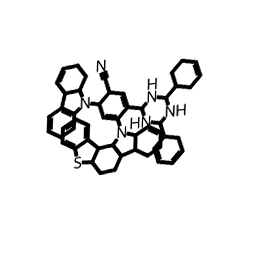 N#CC1C=C(C2NC(C3C=CC=CC3)NC(C3CC=CCC3)N2)C(N2C3C=CCCC3C3CCC4Sc5ccccc5C4C32)=CC1N1C2=C(C=CCC2)C2C=CCCC21